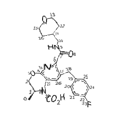 C[C@H]1COc2nc(C(=O)NCC3CCOCC3)c(Cc3ccc(F)cc3)cc2N1C(=O)O